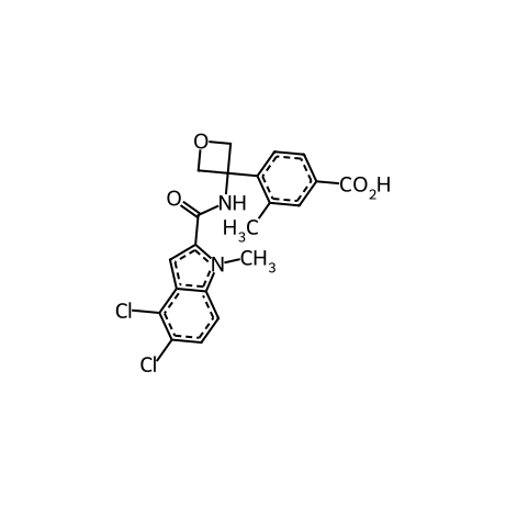 Cc1cc(C(=O)O)ccc1C1(NC(=O)c2cc3c(Cl)c(Cl)ccc3n2C)COC1